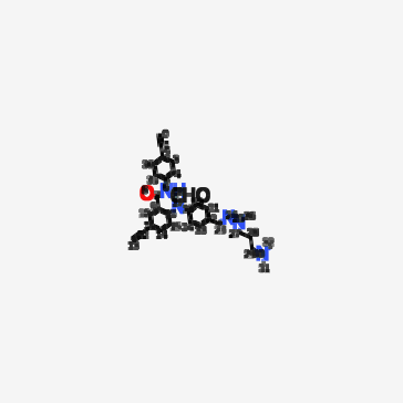 C#Cc1ccc(NC(=O)c2cc(C#C)ccc2N(C=O)c2ccc(C=NN(C)CCCN(C)C)cc2)cc1